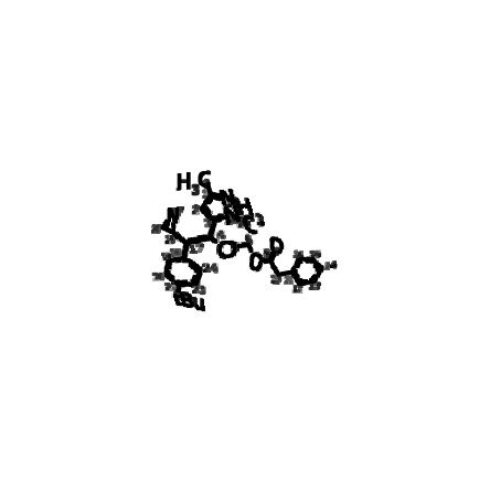 Cc1cc(/C(OCOC(=O)Cc2ccccc2)=C(/c2ccc(C(C)(C)C)cc2)C2C=N2)n(C)n1